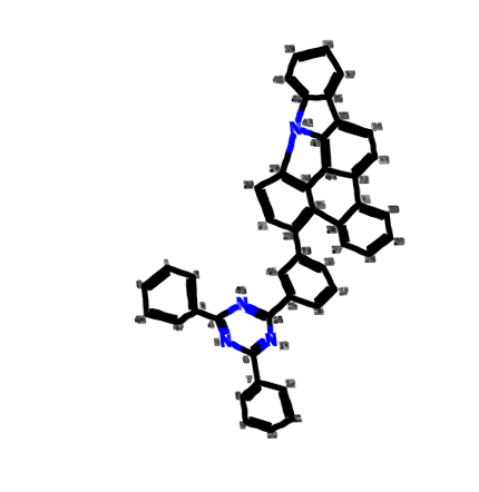 c1ccc(-c2nc(-c3ccccc3)nc(-c3cccc(-c4ccc5c6c4c4ccccc4c4ccc7c8ccccc8n5c7c46)c3)n2)cc1